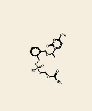 CC(OCc1ccccc1OOP(=O)(O)OCOC(=O)C(C)(C)C)n1ccc(N)nc1=O